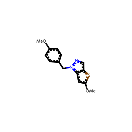 COc1ccc(Cn2ncc3sc(OC)cc32)cc1